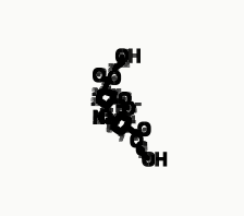 O=C(OCCO)c1ccc2c(c1)P(=O)([O-])c1cc(C(=O)OCCO)ccc1O2.[Na+]